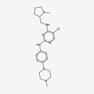 CN1CCN(c2ccc(Nc3ncc(Cl)c(NCC4CCCN4C)n3)cc2)CC1